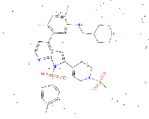 Cc1ccc(S(=O)(=O)n2c(C3=CCN(S(C)(=O)=O)CC3)cc3c(-c4cc(NCC5CCOCC5)c(F)cc4F)ccnc32)cc1